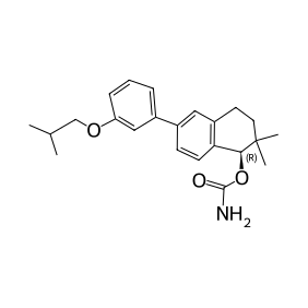 CC(C)COc1cccc(-c2ccc3c(c2)CCC(C)(C)[C@H]3OC(N)=O)c1